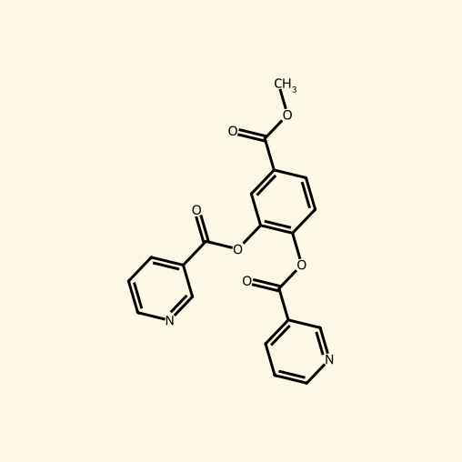 COC(=O)c1ccc(OC(=O)c2cccnc2)c(OC(=O)c2cccnc2)c1